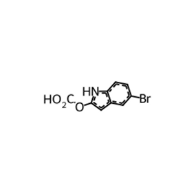 O=C(O)Oc1cc2cc(Br)ccc2[nH]1